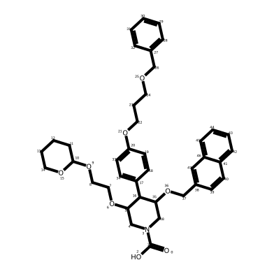 O=C(O)N1CC(OCCOC2CCCCO2)C(c2ccc(OCCCOCc3ccccc3)cc2)C(OCc2ccc3ccccc3c2)C1